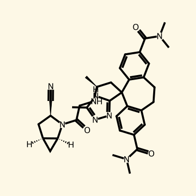 Cc1nnc(C2(C[C@H](C)NCC(=O)N3[C@H](C#N)C[C@@H]4C[C@@H]43)c3ccc(C(=O)N(C)C)cc3CCc3cc(C(=O)N(C)C)ccc32)[nH]1